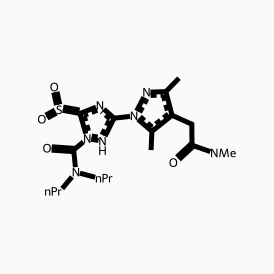 CCCN(CCC)C(=O)n1[nH]c(-n2nc(C)c(CC(=O)NC)c2C)nc1=S(=O)=O